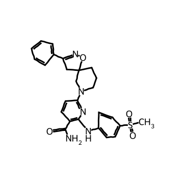 CS(=O)(=O)c1ccc(Nc2nc(N3CCCC4(CC(c5ccccc5)=NO4)C3)ccc2C(N)=O)cc1